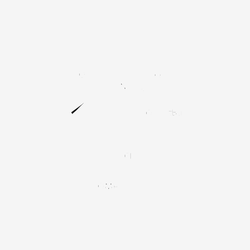 COc1ccc(C[C@@H]2CN(C(=O)OC(C)(C)C)CCO2)cc1C